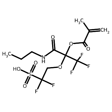 C=C(C)C(=O)OC(OCC(F)(F)S(=O)(=O)O)(C(=O)NCCC)C(F)(F)F